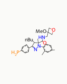 CCCCC1C(c2ccc(P)cc2)=NN(c2ccc(C)cc2C)C1(C)C(=O)NCC1(OC)COC1